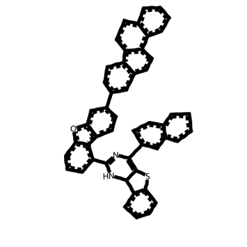 c1ccc2c(c1)SC1=C(c3ccc4ccccc4c3)N=C(c3cccc4oc5cc(-c6ccc7c(ccc8c9ccccc9ccc78)c6)ccc5c34)NC12